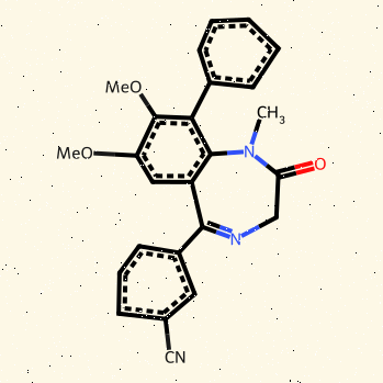 COc1cc2c(c(-c3ccccc3)c1OC)N(C)C(=O)CN=C2c1cccc(C#N)c1